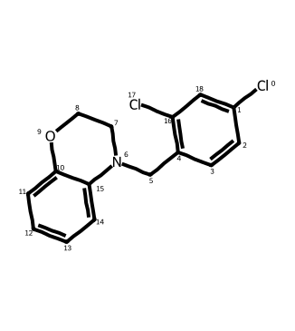 Clc1ccc(CN2CCOc3ccccc32)c(Cl)c1